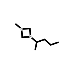 CCCC(C)N1CN(C)C1